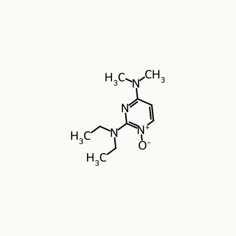 CCN(CC)c1nc(N(C)C)cc[n+]1[O-]